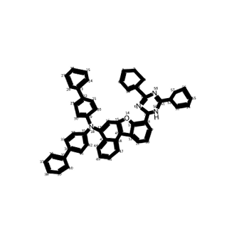 C1=CCCC(C2=NC(c3cccc4c3oc3cc(N(c5ccc(-c6ccccc6)cc5)c5ccc(-c6ccccc6)cc5)c5ccccc5c34)NC(C3C=CC=CC3)=N2)=C1